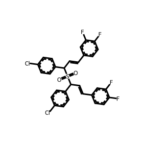 O=S(=O)(C(C=Cc1ccc(F)c(F)c1)c1ccc(Cl)cc1)C(C=Cc1ccc(F)c(F)c1)c1ccc(Cl)cc1